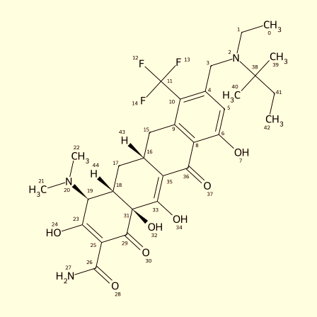 CCN(Cc1cc(O)c2c(c1C(F)(F)F)C[C@H]1C[C@H]3[C@H](N(C)C)C(O)=C(C(N)=O)C(=O)[C@@]3(O)C(O)=C1C2=O)C(C)(C)CC